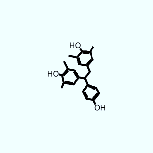 Cc1cc(CC(c2ccc(O)cc2)c2cc(C)c(O)c(C)c2)cc(C)c1O